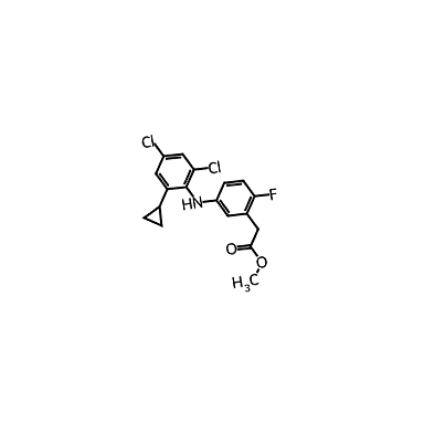 COC(=O)Cc1cc(Nc2c(Cl)cc(Cl)cc2C2CC2)ccc1F